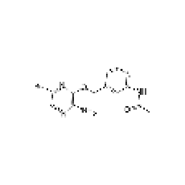 CC(=O)Nc1cc(COc2nc(Br)cnc2N)ccn1